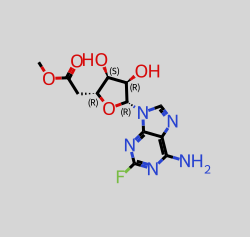 COC(=O)C[C@H]1O[C@@H](n2cnc3c(N)nc(F)nc32)[C@H](O)[C@@H]1O